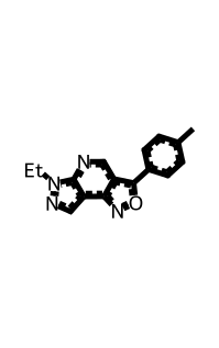 CCn1ncc2c3noc(-c4ccc(C)cc4)c3cnc21